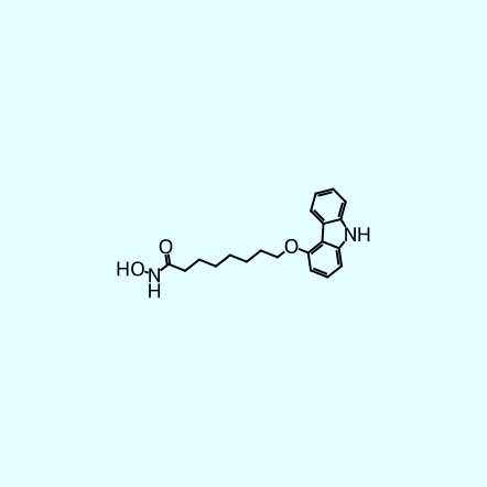 O=C(CCCCCCCOc1cccc2[nH]c3ccccc3c12)NO